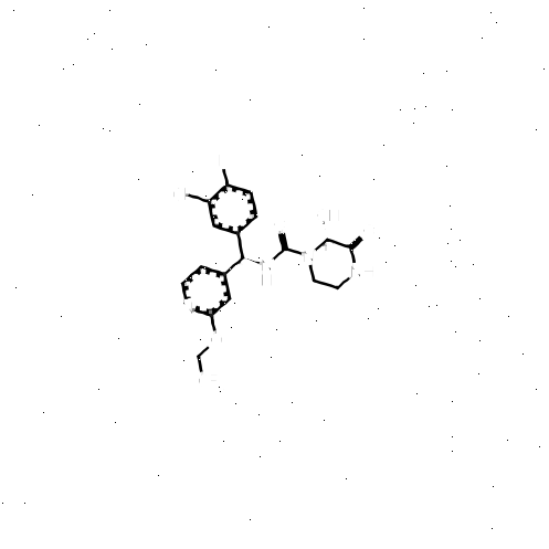 C[C@@H]1C(=O)NCCN1C(=O)N[C@@H](c1ccnc(OCC(F)(F)F)c1)c1ccc(F)c(Cl)c1